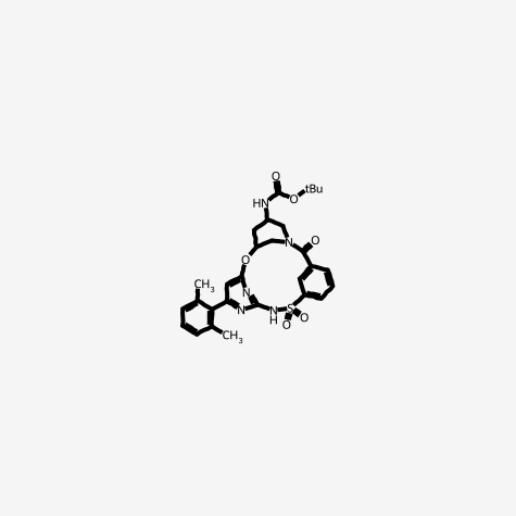 Cc1cccc(C)c1-c1cc2nc(n1)NS(=O)(=O)c1cccc(c1)C(=O)N1CC(NC(=O)OC(C)(C)C)CC(C1)O2